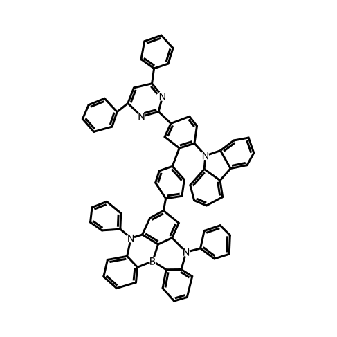 c1ccc(-c2cc(-c3ccccc3)nc(-c3ccc(-n4c5ccccc5c5ccccc54)c(-c4ccc(-c5cc6c7c(c5)N(c5ccccc5)c5ccccc5B7c5ccccc5N6c5ccccc5)cc4)c3)n2)cc1